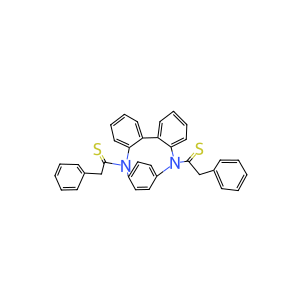 S=C(Cc1ccccc1)N1c2ccc(cc2)N(C(=S)Cc2ccccc2)c2ccccc2-c2ccccc21